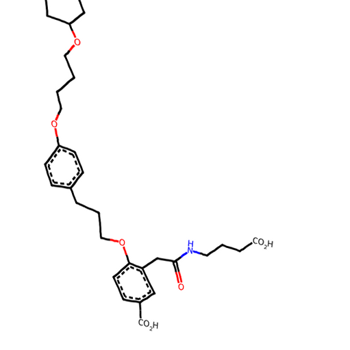 O=C(O)CCCNC(=O)Cc1cc(C(=O)O)ccc1OCCCc1ccc(OCCCCOC2CCCCC2)cc1